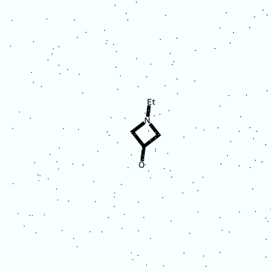 CCN1CC([O])C1